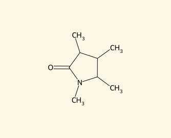 CC1C(=O)N(C)C(C)C1C